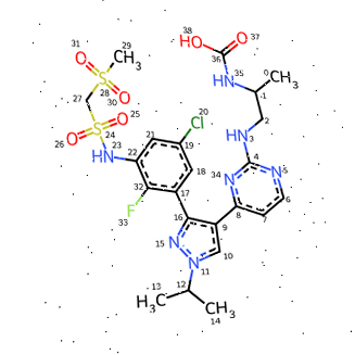 CC(CNc1nccc(-c2cn(C(C)C)nc2-c2cc(Cl)cc(NS(=O)(=O)CS(C)(=O)=O)c2F)n1)NC(=O)O